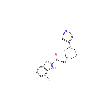 Cc1ccc(F)c2cc(C(=O)N[C@H]3CCC[C@H](c4ccncc4)C3)[nH]c12